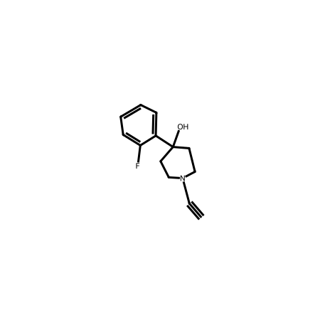 C#CN1CCC(O)(c2ccccc2F)CC1